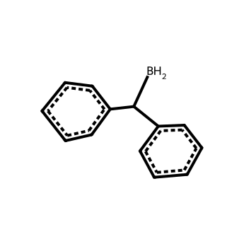 BC(c1ccccc1)c1ccccc1